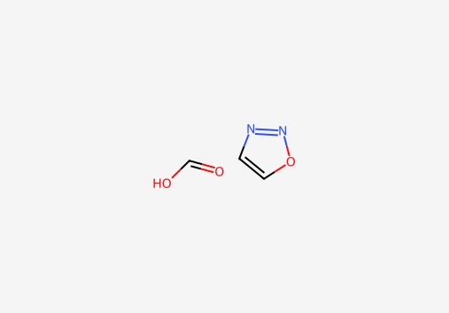 O=CO.c1conn1